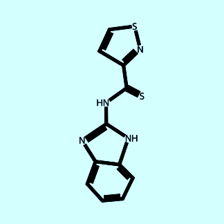 S=C(Nc1nc2ccccc2[nH]1)c1ccsn1